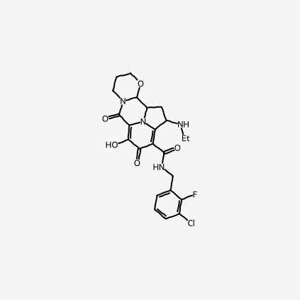 CCNC1CC2C3OCCCN3C(=O)c3c(O)c(=O)c(C(=O)NCc4cccc(Cl)c4F)c1n32